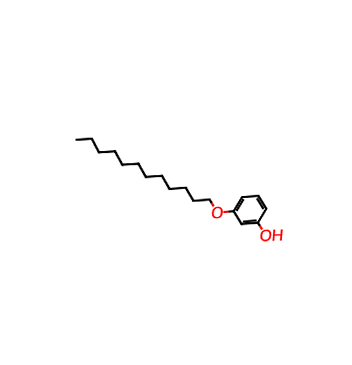 CCCCCCCCCCCCOc1cccc(O)c1